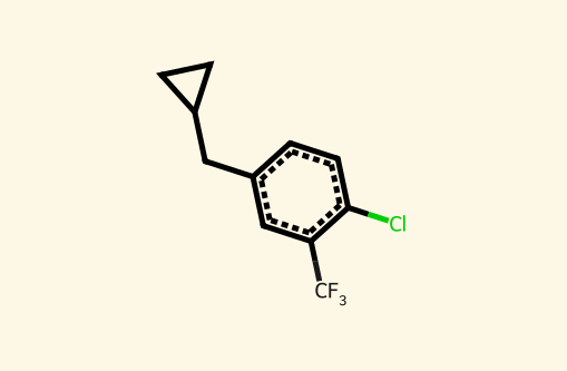 FC(F)(F)c1cc(CC2CC2)ccc1Cl